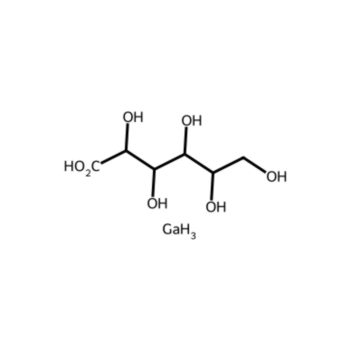 O=C(O)C(O)C(O)C(O)C(O)CO.[GaH3]